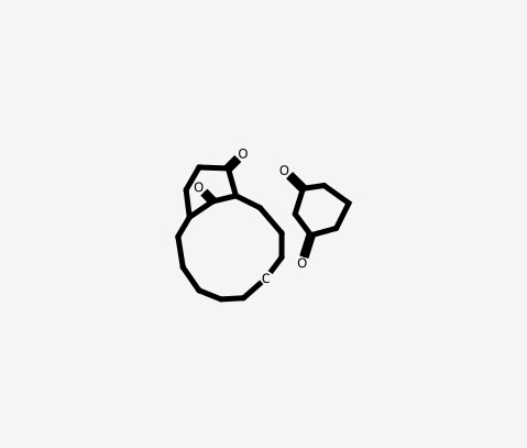 O=C1CCC2CCCCCCCCCC1C2=O.O=C1CCCC(=O)C1